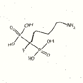 NCCCC(F)(P(=O)(O)O)P(=O)(O)O